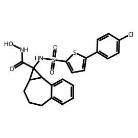 O=C(NO)C1(NS(=O)(=O)c2ccc(-c3ccc(Cl)cc3)s2)C2CCCc3ccccc3C21